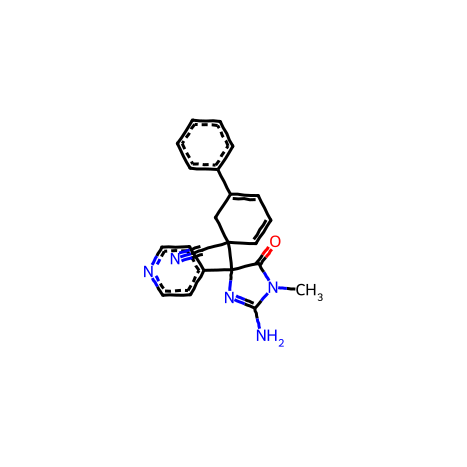 CN1C(=O)C(c2ccncc2)(C2(C#N)C=CC=C(c3ccccc3)C2)N=C1N